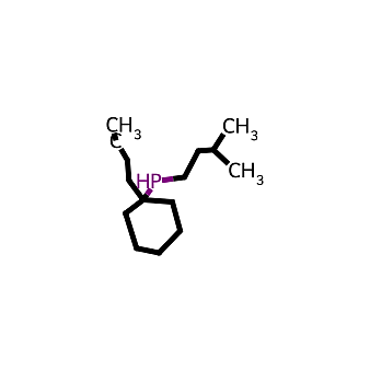 CCCCC1(PCCC(C)C)CCCCC1